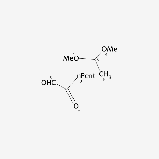 CCCCCC(=O)C=O.COC(C)OC